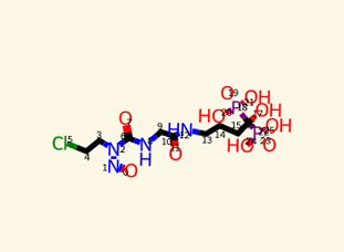 O=NN(CCCl)C(=O)NCC(=O)NCCCC(O)(P(=O)(O)O)P(=O)(O)O